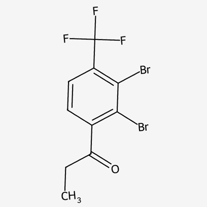 CCC(=O)c1ccc(C(F)(F)F)c(Br)c1Br